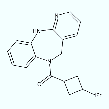 CC(C)C1CC(C(=O)N2Cc3cccnc3Nc3ccccc32)C1